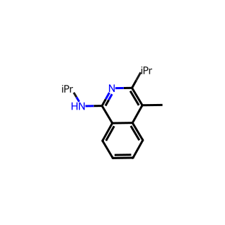 Cc1c(C(C)C)nc(NC(C)C)c2ccccc12